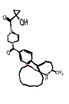 CC1CCC(c2ccc(C(=O)N3CCN(C(=O)C4(O)CC4)CC3)cc2)C2(CCCCCCCCCC2)N1